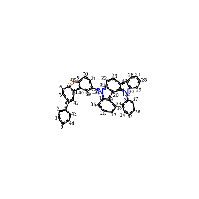 c1ccc(-c2ccc3sc4ccc(-n5c6ccccc6c6c5ccc5c7ccccc7n(-c7ccccc7)c56)cc4c3c2)cc1